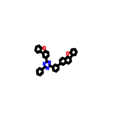 c1ccc(-c2nc(-c3cccc(-c4ccc5c(ccc6c7ccccc7oc56)c4)c3)nc(-c3ccc4oc5ccccc5c4c3)n2)cc1